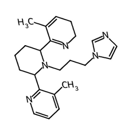 CC1=CCCN=C1C1CCCC(c2ncccc2C)N1CCCn1ccnc1